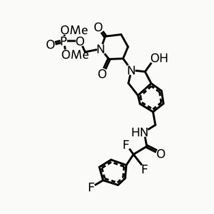 COP(=O)(OC)OCN1C(=O)CCC(N2Cc3cc(CNC(=O)C(F)(F)c4ccc(F)cc4)ccc3C2O)C1=O